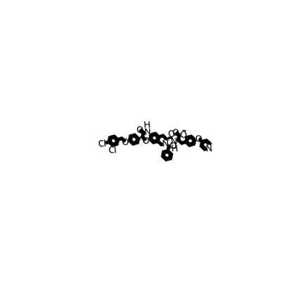 COC(=O)C(Cc1ccc(Oc2ccncc2)cc1)NC(=O)[C@@H]1Cc2cc3c(cc2CN1C(=O)c1ccccc1)O[C@@H](c1ccc(OCc2ccc(Cl)c(Cl)c2)cc1)C(=O)N3